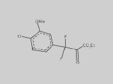 CCOC(=O)C(=O)C(F)(F)c1ccc(Cl)c(OC)c1